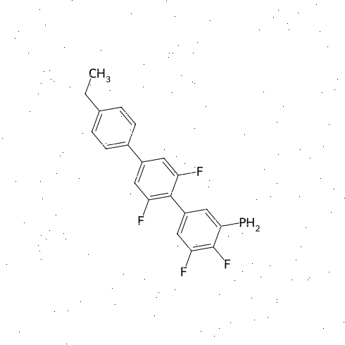 CCc1ccc(-c2cc(F)c(-c3cc(F)c(F)c(P)c3)c(F)c2)cc1